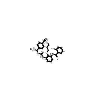 CCCCOc1c(NC(=O)c2ccccc2F)cccc1NC(=S)NC(C)c1ccc(C#N)cc1